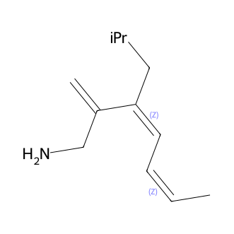 C=C(CN)/C(=C\C=C/C)CC(C)C